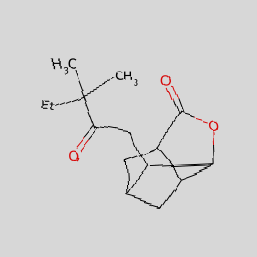 CCC(C)(C)C(=O)CC1C2CC3C(=O)OC1C3C2